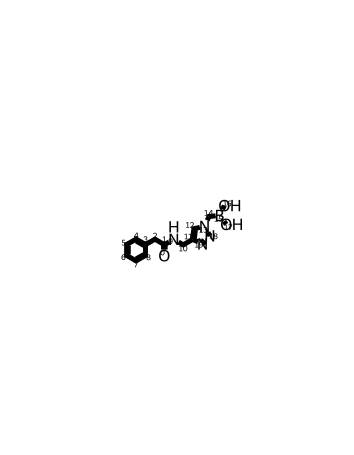 O=C(Cc1ccccc1)NCc1cn(CB(O)O)nn1